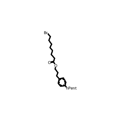 CCCCCc1ccc(CCCOC(=O)CCCCCCCBr)cc1